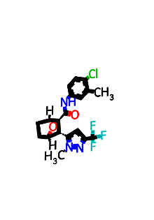 Cc1cc(NC(=O)[C@H]2[C@H](c3cc(C(F)(F)F)nn3C)[C@@H]3CC[C@H]2O3)ccc1Cl